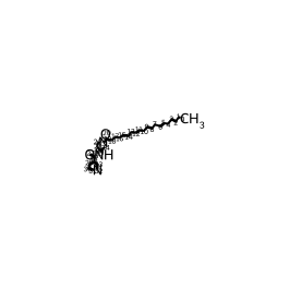 CCC=CCC=CCC=CCC=CCC=CCCCC(=O)N1CC[C@@H](NC(=O)c2cccnc2)C1